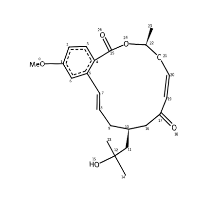 COc1ccc2c(c1)/C=C/C[C@H](CC(C)(C)O)CC(=O)/C=C\C[C@H](C)OC2=O